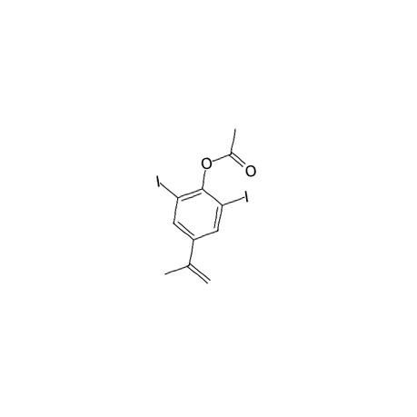 C=C(C)c1cc(I)c(OC(C)=O)c(I)c1